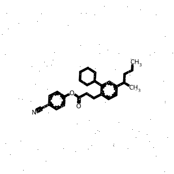 CCCC(C)c1ccc(CCC(=O)Oc2ccc(C#N)cc2)c(C2CCCCC2)c1